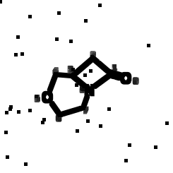 O=C1CC2COCCN12